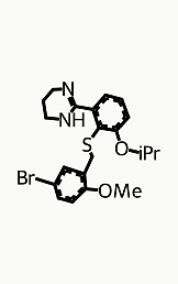 COc1ccc(Br)cc1CSc1c(OC(C)C)cccc1C1=NCCCN1